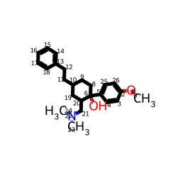 COc1ccc(C2(O)CCC(CCc3ccccc3)CC2CN(C)C)cc1